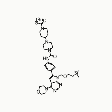 CC(C)(C)OC(=O)N1CCC(N2CCN(C(=O)Nc3ccc(-c4cc5c(N6CCOCC6)ncnc5n4COCC[Si](C)(C)C)cc3)CC2)CC1